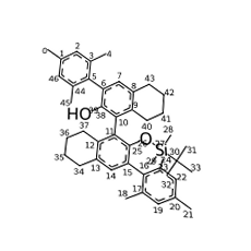 Cc1cc(C)c(-c2cc3c(c(-c4c5c(cc(-c6c(C)cc(C)cc6C)c4O[Si](C)(C)C(C)(C)C)CCCC5)c2O)CCCC3)c(C)c1